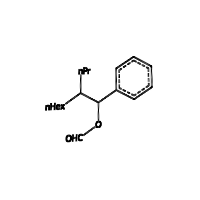 CCCCCCC(CCC)C(OC=O)c1ccccc1